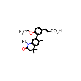 CCN1C(=O)CC(C)(C)c2cc(C)c(-c3cc(C=CC(=O)O)ccc3OCC(F)(F)F)cc21